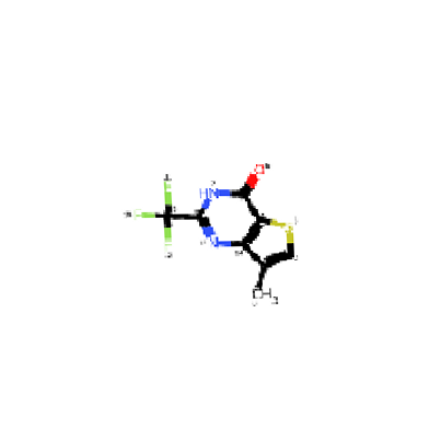 Cc1csc2c(=O)[nH]c(C(F)(F)F)nc12